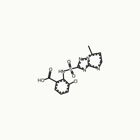 Cc1ccnc2nc(S(=O)(=O)Nc3c(Cl)cccc3C(=O)O)nn12